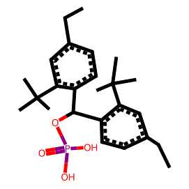 CCc1ccc(C(OP(=O)(O)O)c2ccc(CC)cc2C(C)(C)C)c(C(C)(C)C)c1